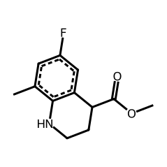 COC(=O)C1CCNc2c(C)cc(F)cc21